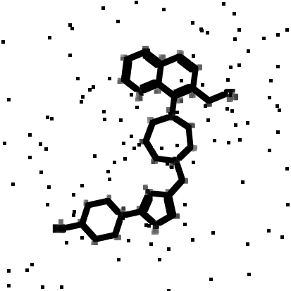 OC1CCN(c2nc(CN3CCCN(c4c(CC(F)(F)F)ccc5cccnc45)CC3)cs2)CC1